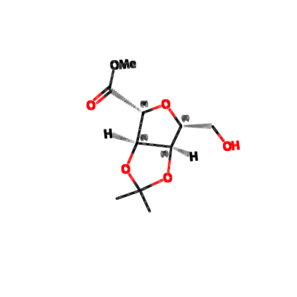 COC(=O)[C@@H]1O[C@H](CO)[C@H]2OC(C)(C)O[C@H]21